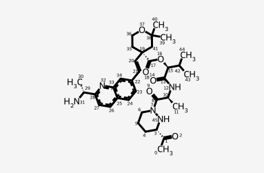 CC(=O)[C@@H]1CCCN(C(=O)[C@H](C)NC(=O)[C@@H](OC(=O)[C@]2(/C=C/c3ccc4ccc([C@@H](C)N)nc4c3)CCOC(C)(C)C2)C(C)C)N1